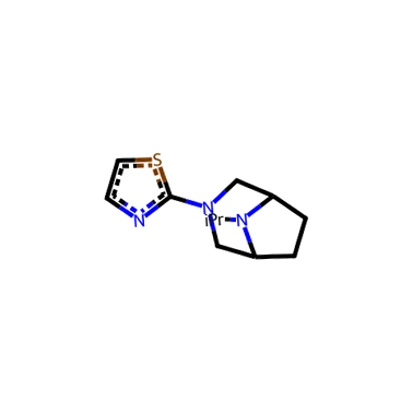 CC(C)N1C2CCC1CN(c1nccs1)C2